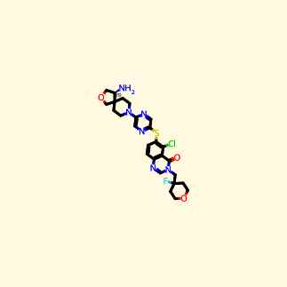 N[C@@H]1COCC12CCN(c1cnc(Sc3ccc4ncn(CC5(F)CCOCC5)c(=O)c4c3Cl)cn1)CC2